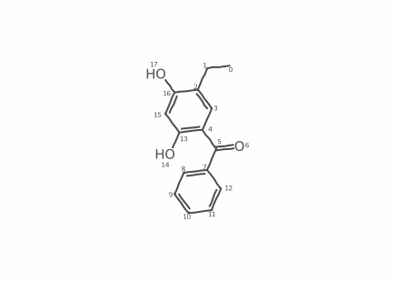 CCc1cc(C(=O)c2ccccc2)c(O)cc1O